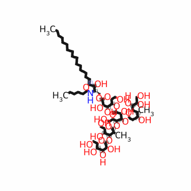 CCCCCCCCCCCCCCC/C=C/[C@@H](O)[C@H](CO[C@@H]1OC(CO)[C@@H](O[C@@H]2OC(CO)[C@H](O[C@@H]3OC(CO)[C@H](O)[C@H](O[C@@H]4OC(CO)[C@H](O)[C@H](O)C4O)C3C)[C@H](OC3C[C@@H](O)[C@@H](C)C([C@H](O)[C@H](O)CO)O3)C2O)[C@H](O)C1O)NC(=O)CCCCC